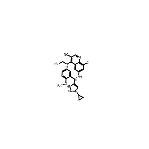 CC(C)(C)CNc1c(C#N)cnc2c(Cl)cc(N[C@H](C3=CN(C4CC4)NN3)c3ccccc3OC(F)(F)F)cc12